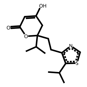 CC(C)c1scnc1CCC1(C(C)C)CC(O)=CC(=O)O1